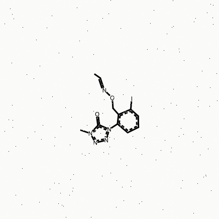 CC=NOCc1c(I)cccc1-n1nnn(C)c1=O